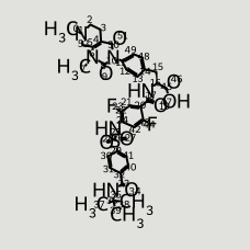 CN1CCc2c(n(C)c(=O)n(-c3ccc(C[C@H](NC(=O)c4cc(F)c(NS(=O)(=O)c5ccc(C(=O)NC(C)(C)C)cc5)cc4F)C(=O)O)cc3)c2=O)C1